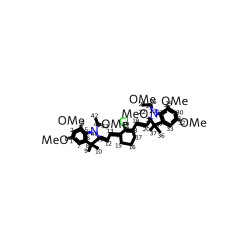 COc1cc(OC)c2c(c1)C(C)(C)/C(=C/C=C1\CCCC(/C=C/C3(OC)N(C(C)OC)c4c(OC)cc(OC)cc4C3(C)C)=C1Cl)N2C(C)OC